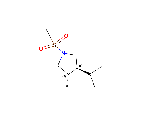 CC(C)[C@@H]1CN(S(C)(=O)=O)C[C@H]1C